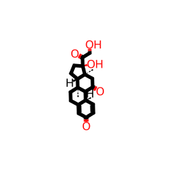 C[C@@]12CCC3=CC(=O)C=C[C@]3(C)[C@H]1C(=O)C[C@@]1(C)[C@H]2CC[C@]1(O)C(=O)CO